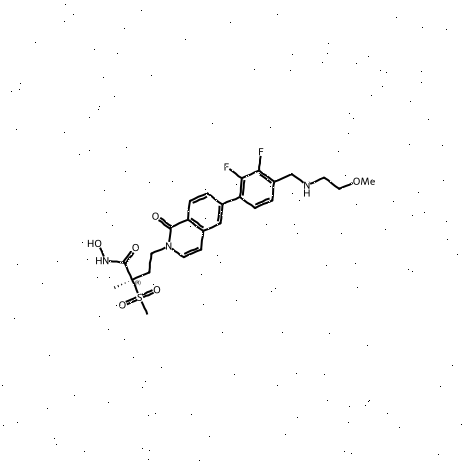 COCCNCc1ccc(-c2ccc3c(=O)n(CC[C@](C)(C(=O)NO)S(C)(=O)=O)ccc3c2)c(F)c1F